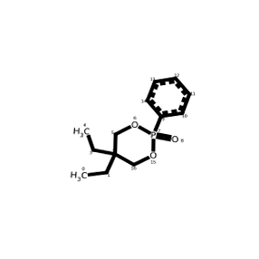 CCC1(CC)COP(=O)(c2ccccc2)OC1